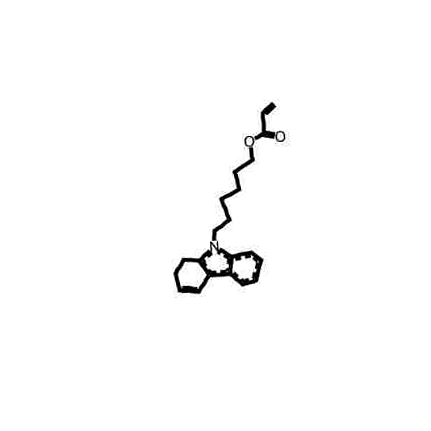 C=CC(=O)OCCCCCCn1c2c(c3ccccc31)C=CCC2